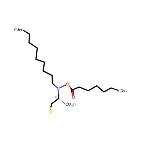 CCCCCCCCCCCCCCCCCCN(OC(=O)CCCCCCCCCCCCCCC)[C@@H](CS)C(=O)O